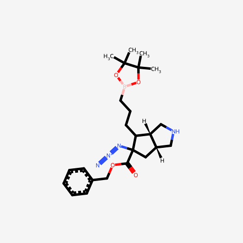 CC1(C)OB(CCCC2[C@@H]3CNC[C@@H]3CC2(N=[N+]=[N-])C(=O)OCc2ccccc2)OC1(C)C